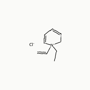 C=C[N+]1(CC)C=CC=CC1.[Cl-]